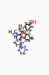 Cc1nc2ccc(N3CCCCC3)cc2c(-c2ccc(F)cc2)c1C(C)Oc1ccc(O)cc1